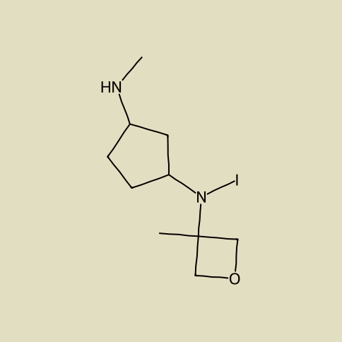 CNC1CCC(N(I)C2(C)COC2)C1